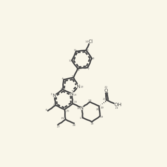 Cc1nc2cc(-c3ccc(Cl)cc3)nn2c(N2CCC[C@@H](C(=O)O)C2)c1C(C)C